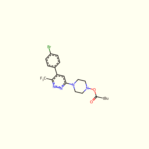 CC(C)(C)C(=O)ON1CCN(c2cc(-c3ccc(Br)cc3)c(C(F)(F)F)nn2)CC1